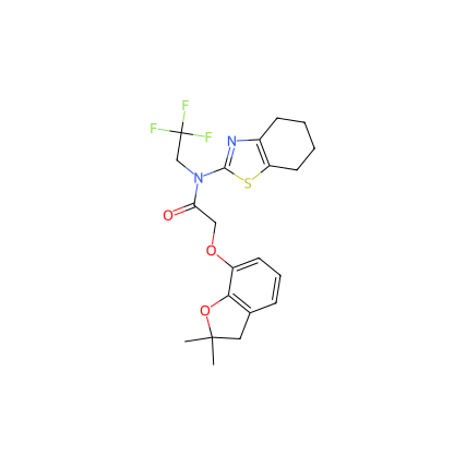 CC1(C)Cc2cccc(OCC(=O)N(CC(F)(F)F)c3nc4c(s3)CCCC4)c2O1